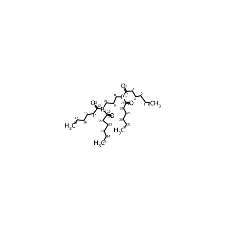 CCCCCC(=O)P(CCCP(C(=O)CCCCC)C(=O)CCCCC)C(=O)CCCCC